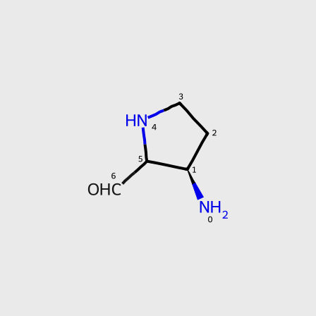 N[C@@H]1CCNC1C=O